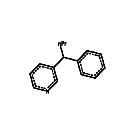 CCCC(c1ccccc1)c1cccnc1